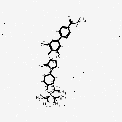 COC(=O)c1ccc(-c2cc(Cl)c(C[C@@H]3CCN(C4CCC(O[Si](C(C)C)(C(C)C)C(C)C)CC4)C3=O)c(Cl)c2)cc1